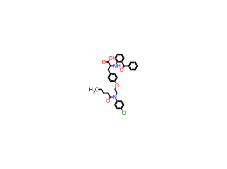 C=CCCC(=O)N(CCOc1ccc(CC(Nc2ccccc2C(=O)c2ccccc2)C(=O)O)cc1)c1ccc(Cl)cc1